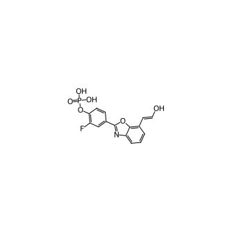 O=P(O)(O)Oc1ccc(-c2nc3cccc(C=CO)c3o2)cc1F